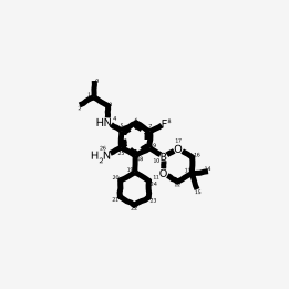 CC(C)CNc1cc(F)c(B2OCC(C)(C)CO2)c(C2CCCCC2)c1N